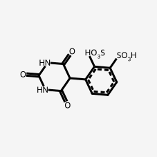 O=C1NC(=O)C(c2cccc(S(=O)(=O)O)c2S(=O)(=O)O)C(=O)N1